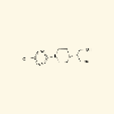 C=CC(CO)N1CCN(c2ccc(Cl)cc2)CC1